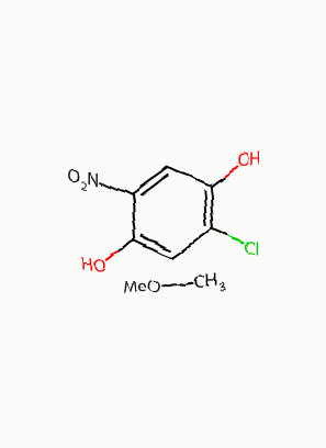 COC.O=[N+]([O-])c1cc(O)c(Cl)cc1O